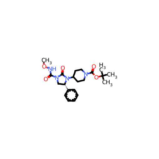 CONC(=O)N1C[C@@H](c2ccccc2)N(C2CCN(C(=O)OC(C)(C)C)CC2)C1=O